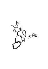 C=C[C@@H](OC(C)OCC)[C@@H](Cc1ccccc1)NC(=O)OC(C)(C)C